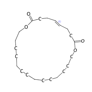 O=C1CC/C=C/CCC(=O)OCCCCCCCCCCCCCCO1